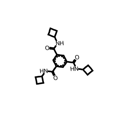 O=C(NC1CCC1)c1cc(C(=O)NC2CCC2)cc(C(=O)NC2CCC2)c1